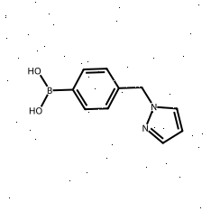 OB(O)c1ccc(Cn2cccn2)cc1